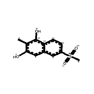 Cc1c(O)cc2cc(S(C)(=O)=O)ccc2c1O